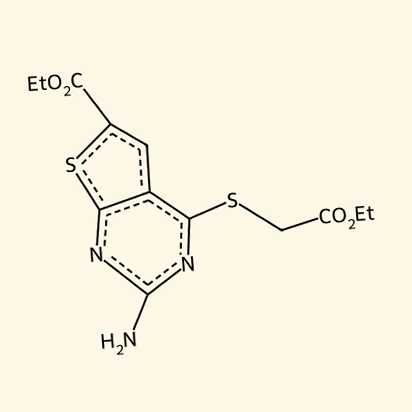 CCOC(=O)CSc1nc(N)nc2sc(C(=O)OCC)cc12